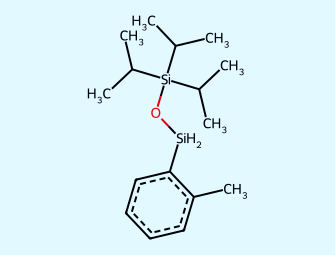 Cc1ccccc1[SiH2]O[Si](C(C)C)(C(C)C)C(C)C